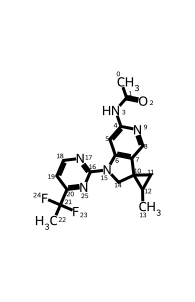 CC(=O)Nc1cc2c(cn1)C1(CC1C)CN2c1nccc(C(C)(F)F)n1